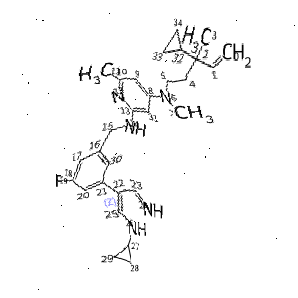 C=CC(C)(CCN(C)c1cc(C)nc(NCc2cc(F)cc(/C(C=N)=C/NC3CC3)c2)c1)C1CC1